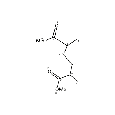 COC(=O)C(C)SSC(C)C(=O)OC